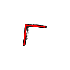 [O-2].[O-2].[O-2].[O-2].[O-2].[O-2].[O-2].[O-2].[O-2].[O-2].[O-2].[O-2].[O-2].[O-2].[O-2].[O-2].[O-2].[O-2].[O-2].[O-2].[O-2].[O-2].[O-2].[O-2].[O-2].[O-2].[O-2].[O-2].[O-2].[O-2].[O-2].[O-2].[O-2].[O-2].[O-2].[O-2].[O-2].[O-2].[O-2].[O-2].[O-2].[O-2].[O-2].[O-2].[O-2].[O-2].[O-2].[O-2].[O-2].[W].[W].[W].[W].[W].[W].[W].[W].[W].[W].[W].[W].[W].[W].[W].[W].[W].[W]